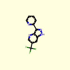 FC(F)(F)c1cnc2c(-c3ccccn3)n[nH]c2c1